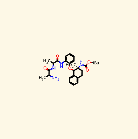 CC(N)C(=O)NC(C)C(=O)Nc1ccccc1OC1c2ccccc2CC[C@@]1(NC(=O)OC(C)(C)C)C(=O)O